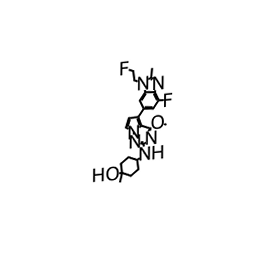 COc1nc(NC2CCC(C)(O)CC2)nn2ccc(-c3cc(F)c4nc(C)n(CCF)c4c3)c12